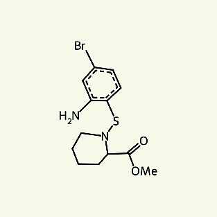 COC(=O)C1CCCCN1Sc1ccc(Br)cc1N